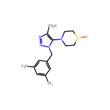 O=C(O)c1nnn(Cc2cc(C(F)(F)F)cc(C(F)(F)F)c2)c1N1CC[S+]([O-])CC1